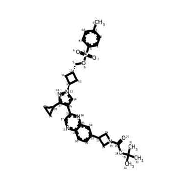 Cc1ccc(S(=O)(=O)OC[C@H]2C[C@H](n3cc(-c4cnc5ccc(C6CN(C(=O)OC(C)(C)C)C6)cc5n4)c(C4CC4)n3)C2)cc1